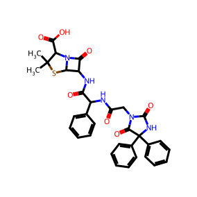 CC1(C)SC2C(NC(=O)C(NC(=O)CN3C(=O)NC(c4ccccc4)(c4ccccc4)C3=O)c3ccccc3)C(=O)N2C1C(=O)O